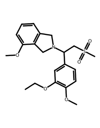 CCOc1cc(C(CS(C)(=O)=O)N2Cc3cccc(OC)c3C2)ccc1OC